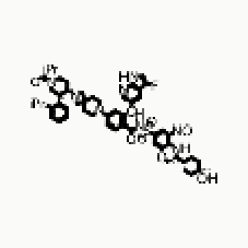 CC(C)C(=O)N1CC[C@@H](N2CC3(CCN(c4ccc(C(=O)NS(=O)(=O)c5cc(N=O)c6c(c5)OC[C@H]([C@H]5CC[C@](C)(O)CC5)N6)c(Oc5cnc6[nH]cc(F)c6c5)c4)CC3)C2)[C@@H](c2ccccc2C(C)C)C1